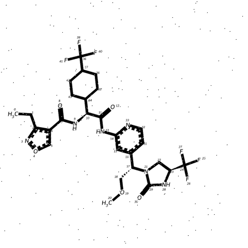 CCc1nocc1C(=O)N[C@H](C(=O)Nc1cc([C@@H](COC)N2C[C@@H](C(F)(F)F)NC2=O)ccn1)C1CCC(C(F)(F)F)CC1